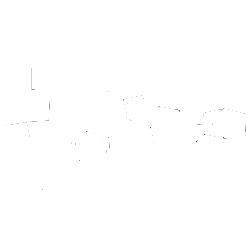 Cc1c(C(=O)CN2C3CCC2[C@@H](O)C3)cc(/C=C/CC2CC(C)(C)OC2=O)n1-c1ccc(C#N)cc1